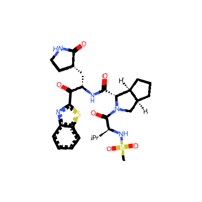 CC(C)[C@H](NS(C)(=O)=O)C(=O)N1C[C@@H]2CCC[C@@H]2[C@H]1C(=O)N[C@@H](C[C@@H]1CCNC1=O)C(=O)c1nc2ccccc2s1